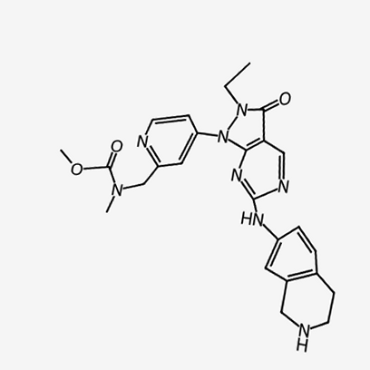 CCn1c(=O)c2cnc(Nc3ccc4c(c3)CNCC4)nc2n1-c1ccnc(CN(C)C(=O)OC)c1